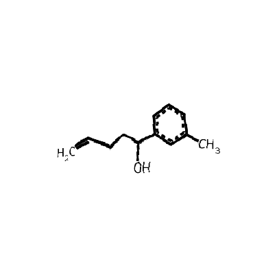 C=CCCC(O)c1cccc(C)c1